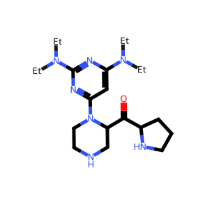 CCN(CC)c1cc(N2CCNCC2C(=O)C2CCCN2)nc(N(CC)CC)n1